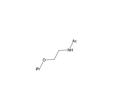 CC(=O)NCCOC(C)C